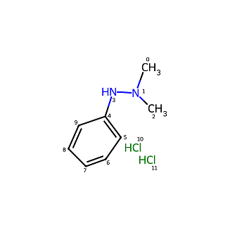 CN(C)Nc1ccccc1.Cl.Cl